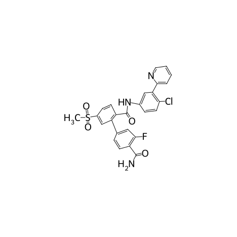 CS(=O)(=O)c1ccc(C(=O)Nc2ccc(Cl)c(-c3ccccn3)c2)c(-c2ccc(C(N)=O)c(F)c2)c1